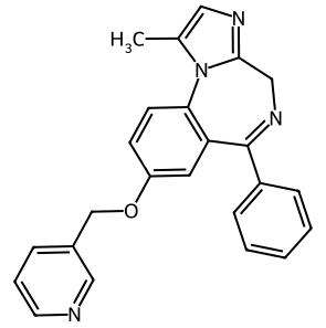 Cc1cnc2n1-c1ccc(OCc3cccnc3)cc1C(c1ccccc1)=NC2